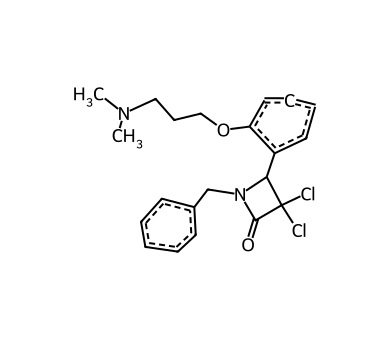 CN(C)CCCOc1ccccc1C1N(Cc2ccccc2)C(=O)C1(Cl)Cl